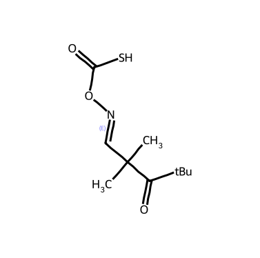 CC(C)(C)C(=O)C(C)(C)/C=N/OC(=O)S